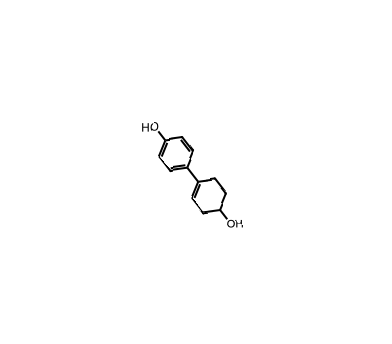 Oc1ccc(C2=CCC(O)CC2)cc1